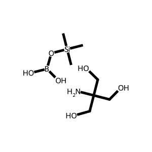 C[Si](C)(C)OB(O)O.NC(CO)(CO)CO